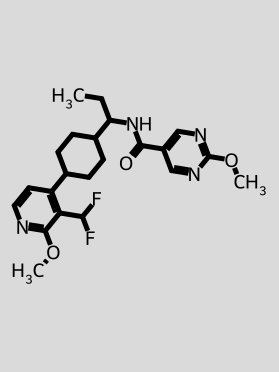 CCC(NC(=O)c1cnc(OC)nc1)C1CCC(c2ccnc(OC)c2C(F)F)CC1